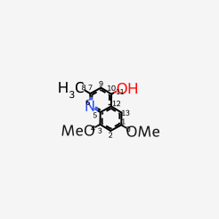 COc1cc(OC)c2nc(C)cc(O)c2c1